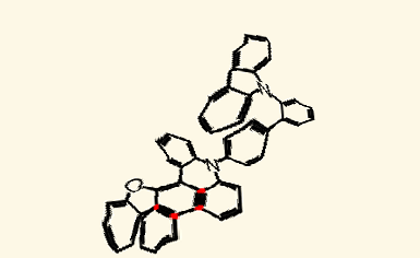 c1ccc(-c2cccc(N(c3ccc(-c4ccccc4-n4c5ccccc5c5ccccc54)cc3)c3ccccc3-c3cccc4c3oc3ccccc34)c2)cc1